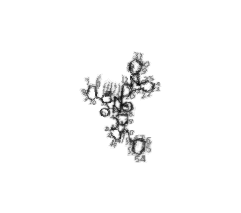 O=c1c2cc(-c3ccccc3)ccc2n(-c2ccc3c(c2)c2ccccc2n3-c2ccccc2)c(=O)n1-c1ccc2c(c1)-c1ccccc1C2CCc1ccccc1